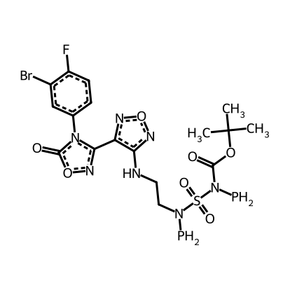 CC(C)(C)OC(=O)N(P)S(=O)(=O)N(P)CCNc1nonc1-c1noc(=O)n1-c1ccc(F)c(Br)c1